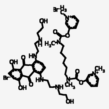 CN(CCCCCCN(C)C(=O)Oc1ccc[n+](C)c1)C(=O)Oc1ccc[n+](C)c1.O=C1c2c(O)ccc(O)c2C(=O)c2c(NCCNCCO)ccc(NCCNCCO)c21.[Br-].[Br-]